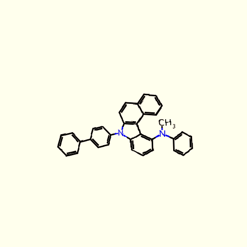 CN(c1ccccc1)c1cccc2c1c1c3ccccc3ccc1n2-c1ccc(-c2ccccc2)cc1